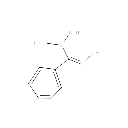 CCCCN(C(=O)O)C(=NO)c1ccccc1